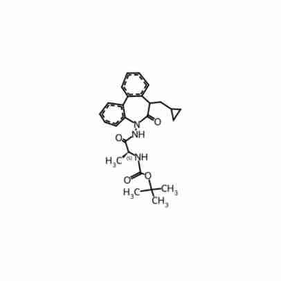 C[C@H](NC(=O)OC(C)(C)C)C(=O)NN1C(=O)C(CC2CC2)c2ccccc2-c2ccccc21